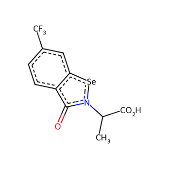 CC(C(=O)O)n1[se]c2cc(C(F)(F)F)ccc2c1=O